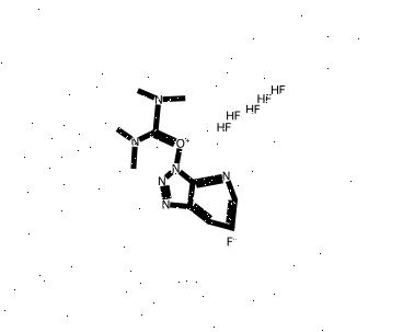 CN(C)C(=[O+]n1nnc2cccnc21)N(C)C.F.F.F.F.F.[F-]